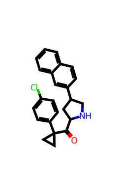 O=C(C1CC(c2ccc3ccccc3c2)CN1)C1(c2ccc(Cl)cc2)CC1